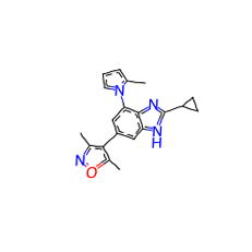 Cc1noc(C)c1-c1cc(-n2cccc2C)c2nc(C3CC3)[nH]c2c1